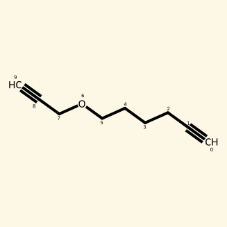 C#CCCCCOCC#C